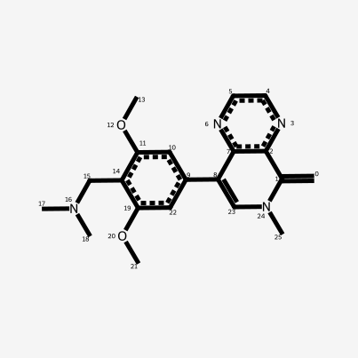 C=C1c2nccnc2C(c2cc(OC)c(CN(C)C)c(OC)c2)=CN1C